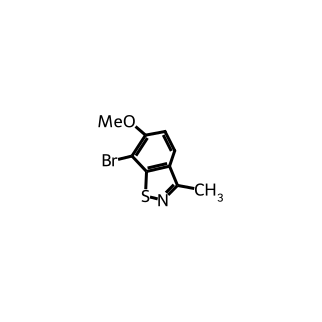 COc1ccc2c(C)nsc2c1Br